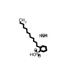 CCCCCCCCCCCCc1ccccc1S(=O)(=O)O.[KH].[NaH]